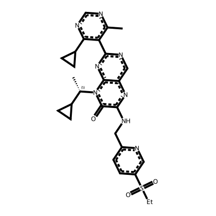 CCS(=O)(=O)c1ccc(CNc2nc3cnc(-c4c(C)ncnc4C4CC4)nc3n([C@@H](C)C3CC3)c2=O)nc1